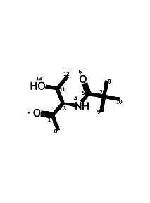 CC(=O)[C@H](NC(=O)C(C)(C)C)C(C)O